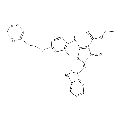 CCOC(=O)C1=C(Nc2ccc(OCCc3ccccn3)cc2C)OC(=Cc2c[nH]c3ncccc23)C1=O